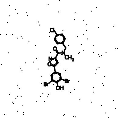 CN(Cc1ccc(Cl)cc1)C(=O)c1cc(-c2cc(Br)c(O)c(Br)c2)on1